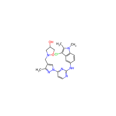 Cc1nn(-c2ccnc(Nc3ccc4c(c3)c(Cl)c(C)n4C)n2)cc1CN1CC(O)CO1